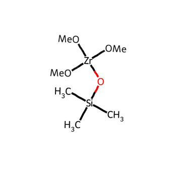 C[O][Zr]([O]C)([O]C)[O][Si](C)(C)C